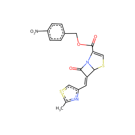 Cc1nc(C=C2C(=O)N3C(C(=O)OCc4ccc([N+](=O)[O-])cc4)=CSC23)cs1